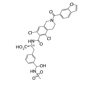 CS(=O)(=O)NC(O)c1cccc(C[C@H](NC(=O)c2c(Cl)cc3c(c2Cl)CCN(C(=O)c2ccc4ccoc4c2)C3)C(=O)O)c1